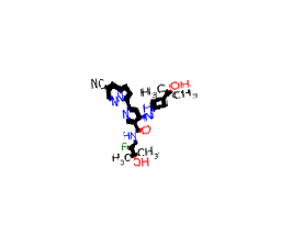 CC(C)(O)C(F)CNC(=O)c1cnc(-c2ccc3cc(C#N)cnn23)cc1NC1CC(C(C)(C)O)C1